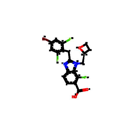 O=C(O)c1ccc2nc(Cc3c(F)cc(Br)cc3F)n(C[C@@H]3CCO3)c2c1F